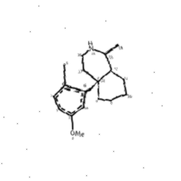 COc1ccc(C)c([C@]23CCCCC2C(C)NCC3)c1